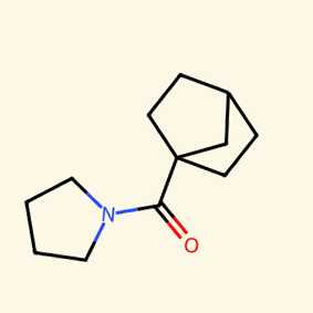 O=C(N1CCCC1)C12CCC(CC1)C2